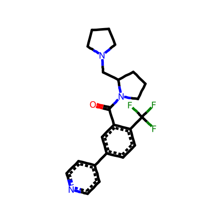 O=C(c1cc(-c2ccncc2)ccc1C(F)(F)F)N1CCCC1CN1CCCC1